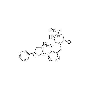 CC(C)[C@]1(C)CC(=O)N(Cc2cc(N3C[C@@H](c4ccccc4)CC3=O)ncn2)C(=N)N1